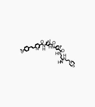 [H]/N=C(\CCNC(=O)c1cc(NC(=O)c2cc(NC(=O)c3ccc(C=Cc4ccc(N(C)C)cc4)nc3)cn2C)cn1C)NCCN1CCSCC1